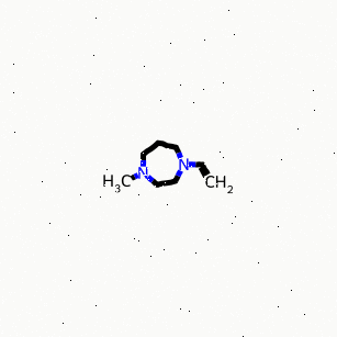 C=CN1CCCN(C)CC1